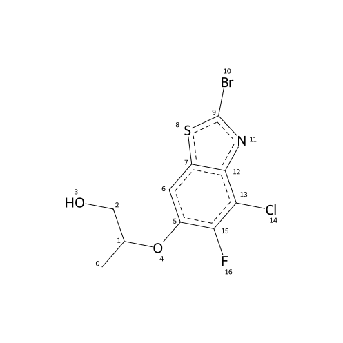 CC(CO)Oc1cc2sc(Br)nc2c(Cl)c1F